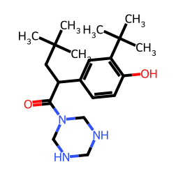 CC(C)(C)CC(C(=O)N1CNCNC1)c1ccc(O)c(C(C)(C)C)c1